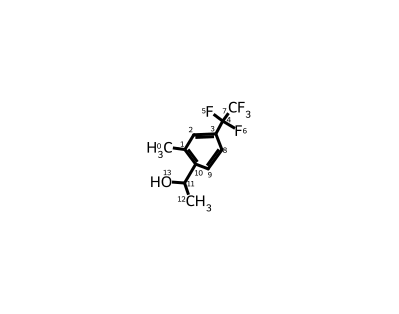 Cc1cc(C(F)(F)C(F)(F)F)ccc1C(C)O